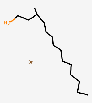 Br.CCCCCCCCCCCC(C)CCP